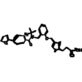 [2H]C(C)(C)N(Cc1ccccc1OCc1csc(CCC(=O)O)n1)C(=O)c1ccc(-c2ccco2)cc1